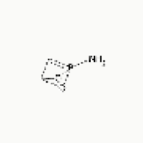 NP12=CC(O1)O2